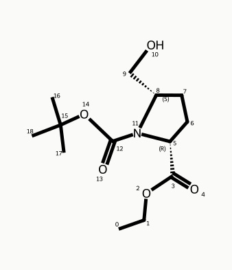 CCOC(=O)[C@H]1CC[C@@H](CO)N1C(=O)OC(C)(C)C